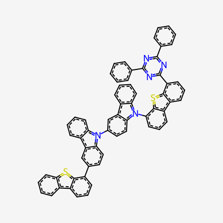 c1ccc(-c2nc(-c3ccccc3)nc(-c3cccc4c3sc3c(-n5c6ccccc6c6cc(-n7c8ccccc8c8cc(-c9cccc%10c9sc9ccccc9%10)ccc87)ccc65)cccc34)n2)cc1